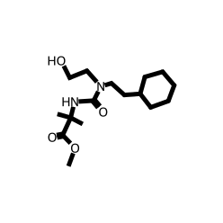 COC(=O)C(C)(C)NC(=O)N(CCO)CCC1CCCCC1